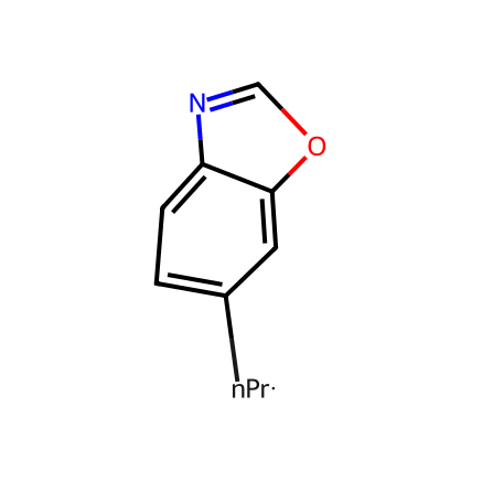 CC[CH]c1ccc2ncoc2c1